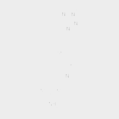 CC(C)(COc1ccc(OC(N)=O)nc1)n1cnnn1